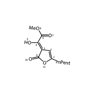 CCCCCC1=CC(=C(O)C(=O)OC)C(=O)O1